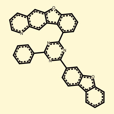 c1ccc(-c2nc(-c3ccc4c(c3)oc3ccccc34)nc(-c3cccc4oc5cc6cccnc6cc5c34)n2)cc1